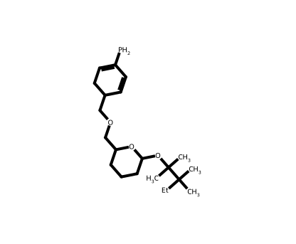 CCC(C)(C)C(C)(C)OC1CCCC(COCC2C=CC(P)=CC2)O1